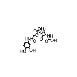 C[C@H]1[C@H](NC(=O)O)C(=O)N1P(=O)(O)OCC(=O)Nc1ccc(O)c(O)c1